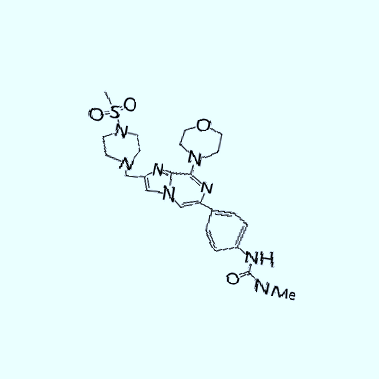 CNC(=O)Nc1ccc(-c2cn3cc(CN4CCN(S(C)(=O)=O)CC4)nc3c(N3CCOCC3)n2)cc1